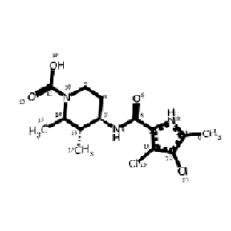 Cc1[nH]c(C(=O)N[C@@H]2CCN(C(=O)O)C(C)[C@H]2C)c(Cl)c1Cl